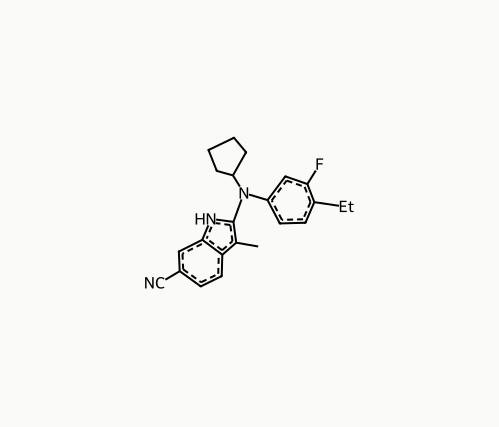 CCc1ccc(N(c2[nH]c3cc(C#N)ccc3c2C)C2CCCC2)cc1F